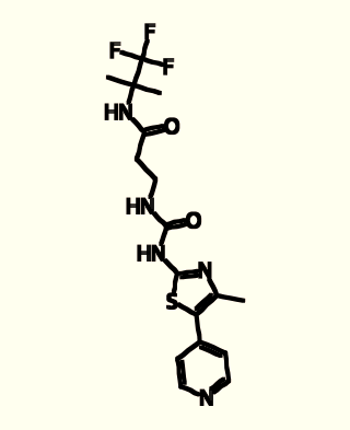 Cc1nc(NC(=O)NCCC(=O)NC(C)(C)C(F)(F)F)sc1-c1ccncc1